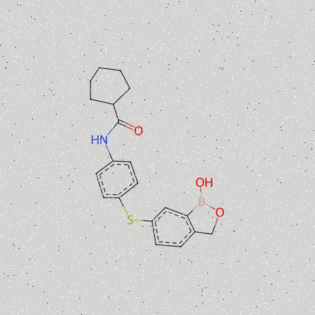 O=C(Nc1ccc(Sc2ccc3c(c2)B(O)OC3)cc1)C1CCCCC1